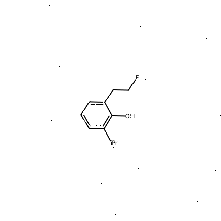 CC(C)c1cccc(CCF)c1O